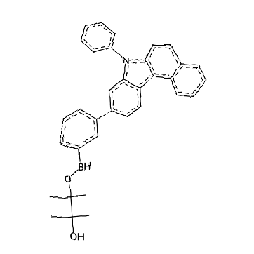 CC(C)(O)C(C)(C)OBc1cccc(-c2ccc3c4c5ccccc5ccc4n(-c4ccccc4)c3c2)c1